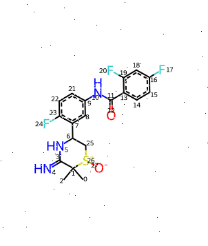 CC1(C)C(=N)NC(c2cc(NC(=O)c3ccc(F)cc3F)ccc2F)C[S+]1[O-]